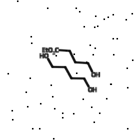 CCOC(=O)CCCO.OCCCCO